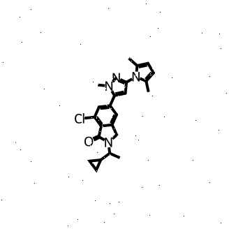 Cc1ccc(C)n1-c1cc(-c2cc(Cl)c3c(c2)CN(C(C)C2CC2)C3=O)n(C)n1